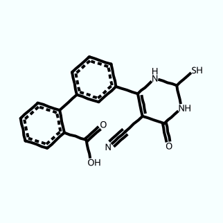 N#CC1=C(c2cccc(-c3ccccc3C(=O)O)c2)NC(S)NC1=O